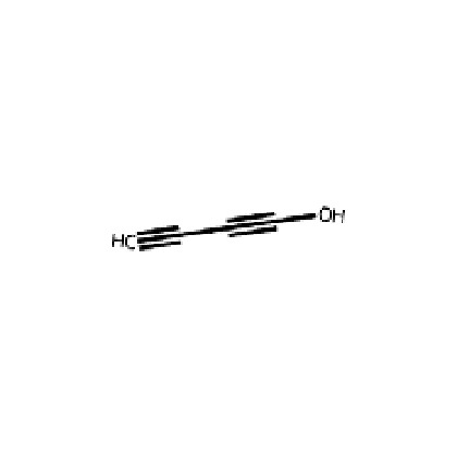 C#CC#CO